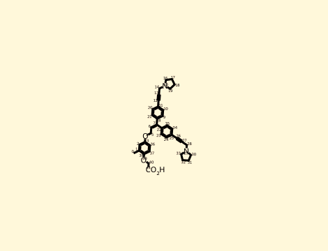 Cc1cc(OCC=C(c2ccc(C#CCN3CCCC3)cc2)c2ccc(C#CCN3CCCC3)cc2)ccc1OCC(=O)O